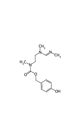 C/N=C/N(C)CCN(C)C(=O)OCc1ccc(O)cc1